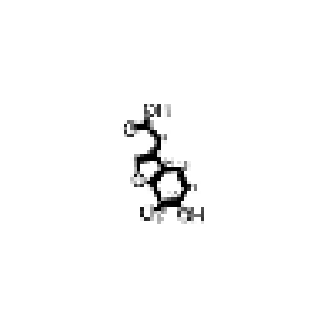 O=C(O)Cc1coc2c(Cl)c(O)ccc12